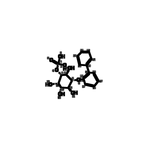 O=P(O)(O)O[C@@H]1[C@@H](O)[C@H](O)[C@@H](O)[C@H](O)[C@@H]1O.c1ccc(-c2ccccc2)cc1